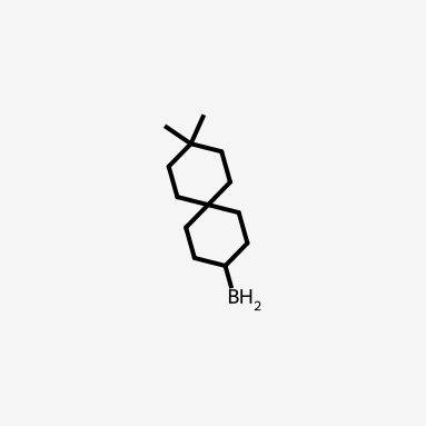 BC1CCC2(CC1)CCC(C)(C)CC2